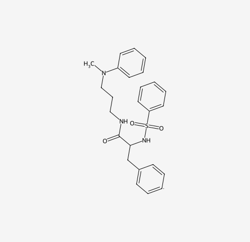 CN(CCCNC(=O)C(Cc1cc[c]cc1)NS(=O)(=O)c1ccccc1)c1ccccc1